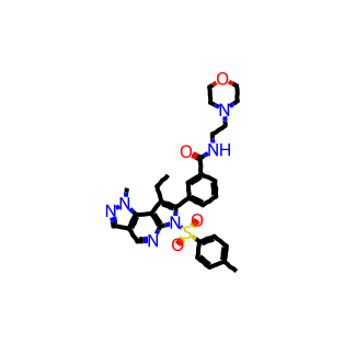 CCc1c(-c2cccc(C(=O)NCCN3CCOCC3)c2)n(S(=O)(=O)c2ccc(C)cc2)c2ncc3cnn(C)c3c12